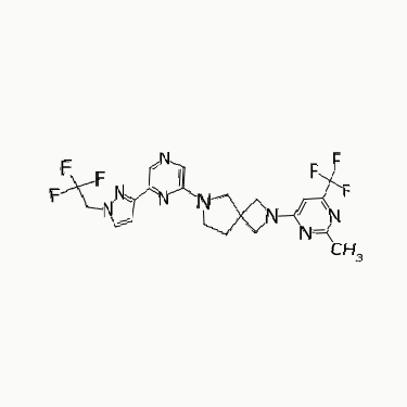 Cc1nc(N2CC3(CCN(c4cncc(-c5ccn(CC(F)(F)F)n5)n4)C3)C2)cc(C(F)(F)F)n1